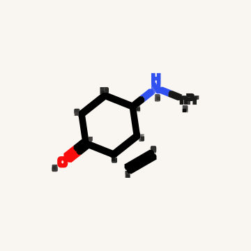 C=C.CCCNC1CCC(=O)CC1